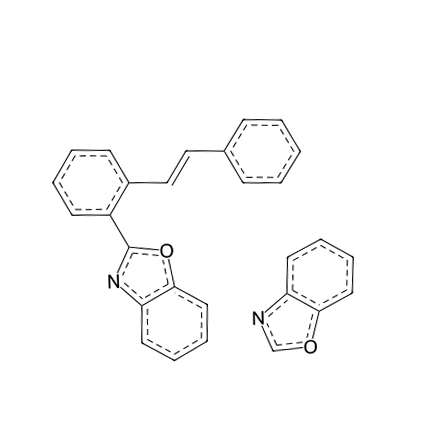 C(=Cc1ccccc1-c1nc2ccccc2o1)c1ccccc1.c1ccc2ocnc2c1